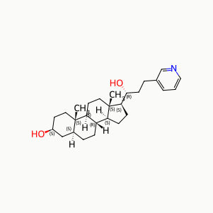 C[C@]12CC[C@H](O)C[C@@H]1CC[C@@H]1[C@@H]2CC[C@]2(C)[C@@H]([C@H](O)CCc3cccnc3)CC[C@@H]12